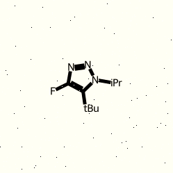 CC(C)n1nnc(F)c1C(C)(C)C